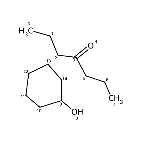 CCCC(=O)CCC.OC1CCCCC1